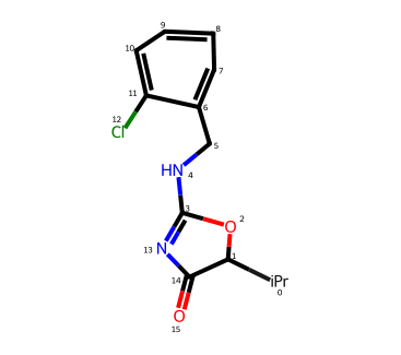 CC(C)C1OC(NCc2ccccc2Cl)=NC1=O